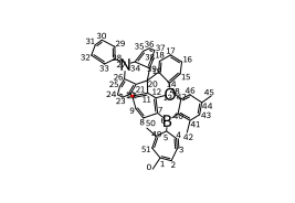 CC1=CC#CC(B(c2cccc3c2Oc2ccccc2C32c3ccccc3N(c3ccccc3)c3ccccc32)c2c(C)cc(C)cc2C)C(C)=C1